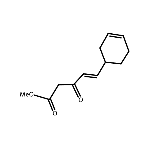 COC(=O)CC(=O)C=CC1CC=CCC1